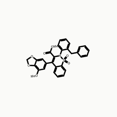 COC(=O)C1=C(c2cc(OC)c3c(c2)OCO3)c2ccccc2S(=O)(=O)N1c1ccccc1Cc1ccccc1